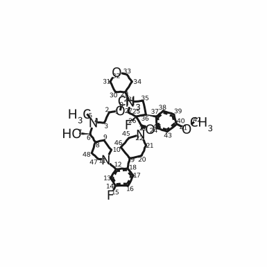 COCCN(C)[C@H](O)C1CCN(c2cc(F)ccc2C2CCN(C(=O)[C@]3(F)CN(C4CCOCC4)C[C@H]3c3ccc(OC)cc3)CC2)CC1